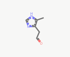 Cc1[nH]cnc1CC=O